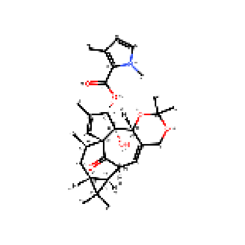 CC1=C[C@]23C(=O)[C@@H](C=C4COC(C)(C)O[C@H]4[C@]2(O)[C@H]1OC(=O)c1c(C)ccn1C)[C@@H]1[C@@H](C[C@H]3C)C1(C)C